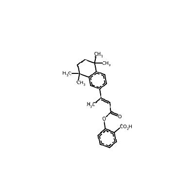 CC(=CC(=O)Oc1ccccc1C(=O)O)c1ccc2c(c1)C(C)(C)CCC2(C)C